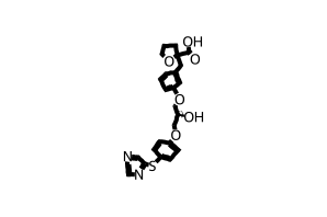 O=C(O)C1(Cc2cccc(OC[C@@H](O)COc3ccc(Sc4cnccn4)cc3)c2)CCCO1